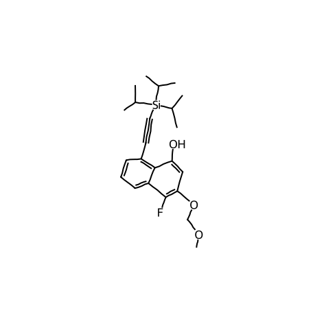 COCOc1cc(O)c2c(C#C[Si](C(C)C)(C(C)C)C(C)C)cccc2c1F